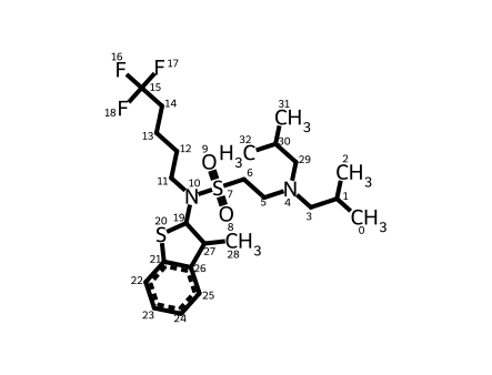 CC(C)CN(CCS(=O)(=O)N(CCCCC(F)(F)F)C1Sc2ccccc2C1C)CC(C)C